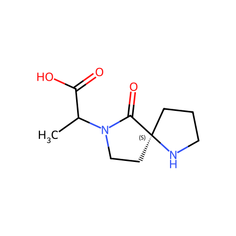 CC(C(=O)O)N1CC[C@@]2(CCCN2)C1=O